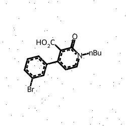 CCCCn1ccc(-c2cccc(Br)c2)c(C(=O)O)c1=O